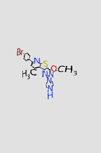 CCOc1nc(N2CCNCC2)nc2c1sc1nc(-c3ccc(Br)cc3)cc(C)c12